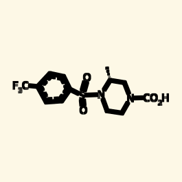 C[C@@H]1CN(C(=O)O)CCN1S(=O)(=O)c1ccc(C(F)(F)F)cc1